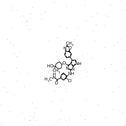 CNC(=O)c1ccc(Nc2nc(OC3CCC(C)(O)CC3)c3c(-c4ccc5nc(C)oc5c4)c[nH]c3n2)c(Cl)c1